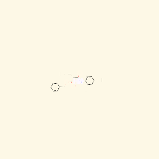 CCC(C(=O)Nc1c(C)cc(C)cc1C)C(=O)OCc1ccccc1